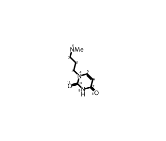 CNCCCn1ccc(=O)[nH]c1=O